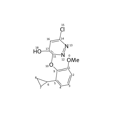 COc1cccc(C2CC2)c1Oc1nnc(Cl)cc1O